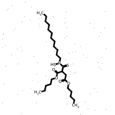 CCCCCCCCCCCCN(S)C(=S)C(CC(=O)OCCCCC)C(=O)OCCCCC